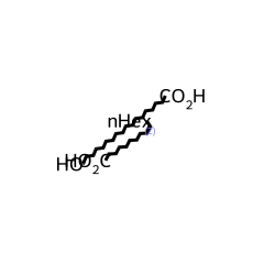 CCCCCC/C=C\CCCCCCCC(=O)O.O=C(O)CCCCCCCCCCCCCCCCCO